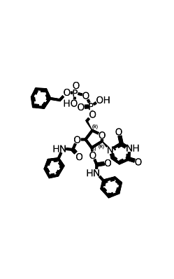 O=C(Nc1ccccc1)OC1[C@@H](COP(=O)(O)OP(=O)(O)OCc2ccccc2)O[C@@H](n2ccc(=O)[nH]c2=O)[C@H]1OC(=O)Nc1ccccc1